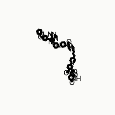 Nc1ncnc2c1c(-c1ccc(Oc3ccccc3)cc1)nn2[C@@H]1CCCN(C2CCN(C(=O)N3CCN(CCCC4CCN(c5ccc6c(c5)C(=O)N(C5CCC(=O)NC5=O)C6=O)CC4)CC3)CC2)C1